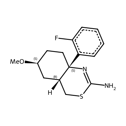 CO[C@H]1CC[C@]2(c3ccccc3F)N=C(N)SC[C@@H]2C1